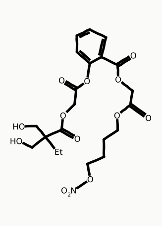 CCC(CO)(CO)C(=O)OCC(=O)Oc1ccccc1C(=O)OCC(=O)OCCCCO[N+](=O)[O-]